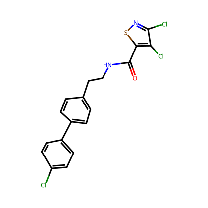 O=C(NCCc1ccc(-c2ccc(Cl)cc2)cc1)c1snc(Cl)c1Cl